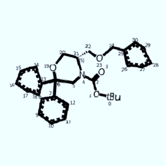 CC(C)(C)OC(=O)N1CC(c2ccccc2)(c2ccccc2)OC[C@@H]1COCc1ccccc1